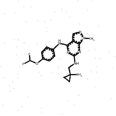 Cn1ncc2c(Nc3ccc(OC(F)F)cc3)nc(NCC3(N)CC3)nc21